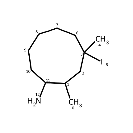 CC1CC(C)(I)CCCCCC1N